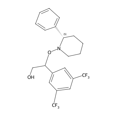 OCC(ON1CCCC[C@H]1c1ccccc1)c1cc(C(F)(F)F)cc(C(F)(F)F)c1